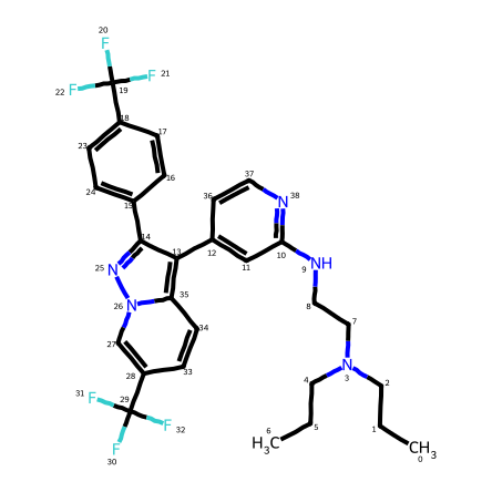 CCCN(CCC)CCNc1cc(-c2c(-c3ccc(C(F)(F)F)cc3)nn3cc(C(F)(F)F)ccc23)ccn1